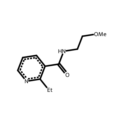 CCc1ncccc1C(=O)NCCOC